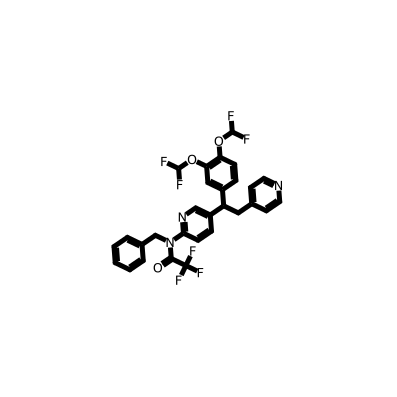 O=C(N(Cc1ccccc1)c1ccc(C(Cc2ccncc2)c2ccc(OC(F)F)c(OC(F)F)c2)cn1)C(F)(F)F